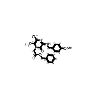 COc1ccc(CNc2nc(Cl)c(C)n(CC(=O)OCc3ccccc3)c2=O)cc1